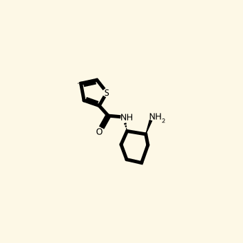 N[C@H]1CCCC[C@@H]1NC(=O)c1c[c]cs1